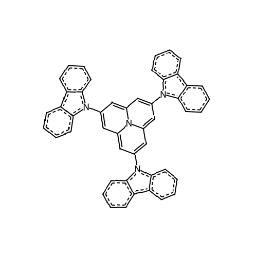 C1=C2C=C(n3c4ccccc4c4ccccc43)C=C3C=C(n4c5ccccc5c5ccccc54)C=C(C=C1n1c4ccccc4c4ccccc41)N23